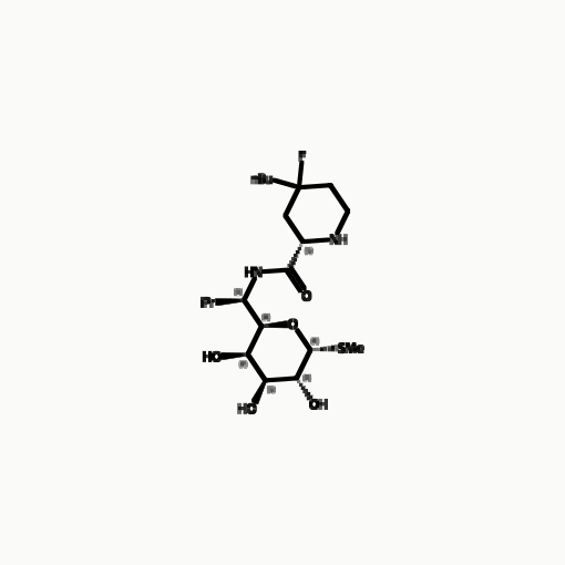 CCCCC1(F)CCN[C@H](C(=O)N[C@H](C(C)C)[C@H]2O[C@H](SC)[C@H](O)[C@@H](O)[C@H]2O)C1